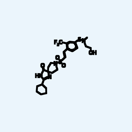 CN(CCO)Sc1ccc(/C=C/S(=O)(=O)N2CCC3(CC2)N=C(C2CCCCC2)NC3=O)c(C(F)(F)F)c1